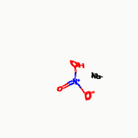 O=[N+]([O-])O.[Nb]